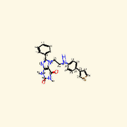 Cn1c(=O)c2c(nc(-c3ccccc3)n2CCNc2ccc(-c3ccsc3)cc2)n(C)c1=O